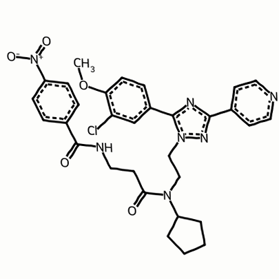 COc1ccc(-c2nc(-c3ccncc3)nn2CCN(C(=O)CCNC(=O)c2ccc([N+](=O)[O-])cc2)C2CCCC2)cc1Cl